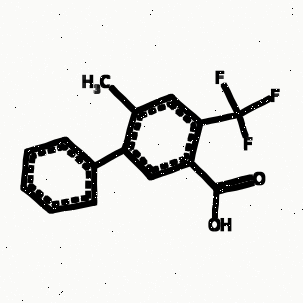 Cc1cc(C(F)(F)F)c(C(=O)O)cc1-c1ccccc1